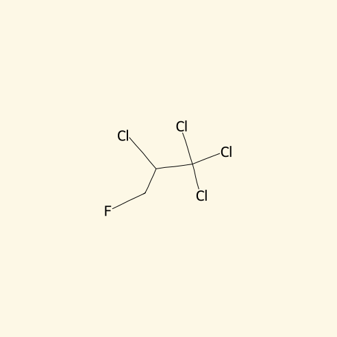 FCC(Cl)C(Cl)(Cl)Cl